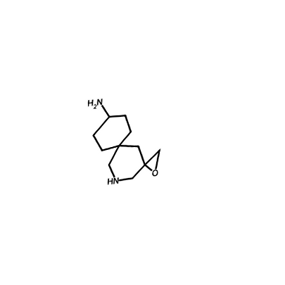 NC1CCC2(CC1)CNCC1(CO1)C2